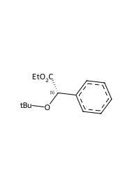 CCOC(=O)[C@@H](OC(C)(C)C)c1ccccc1